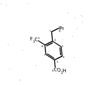 CC(C)Cc1ccc(C(=O)O)cc1C(F)(F)F